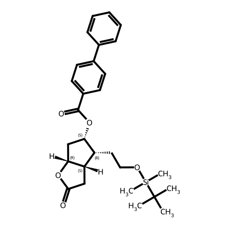 CC(C)(C)[Si](C)(C)OCC[C@@H]1[C@@H]2CC(=O)O[C@@H]2C[C@@H]1OC(=O)c1ccc(-c2ccccc2)cc1